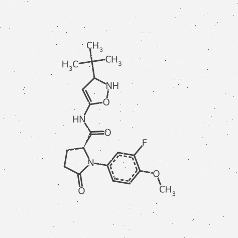 COc1ccc(N2C(=O)CC[C@H]2C(=O)NC2=CC(C(C)(C)C)NO2)cc1F